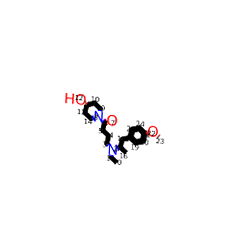 CCN(CCCC(=O)N1CCC(O)CC1)C(C)Cc1ccc(OC)cc1